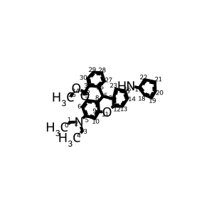 CCN(CC)c1ccc2c(c1)Oc1ccc(Nc3ccccc3)cc1C2c1ccccc1C(=O)OC